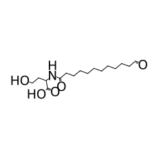 O=CCCCCCCCCCCC(=O)NC(CCO)C(=O)O